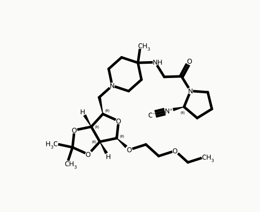 [C-]#[N+][C@@H]1CCCN1C(=O)CNC1(C)CCN(C[C@H]2O[C@@H](OCCOCC)[C@@H]3OC(C)(C)O[C@@H]32)CC1